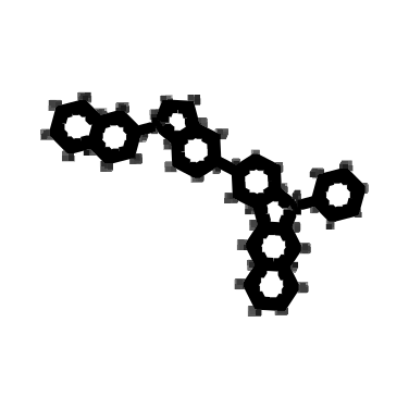 c1ccc(-n2c3ccc(-c4ccc5c(ccn5-c5ccc6ccccc6c5)c4)cc3c3cc4ccccc4cc32)cc1